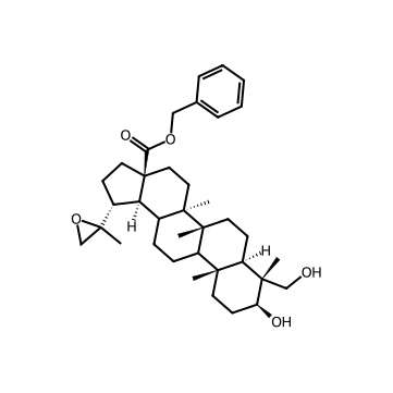 CC1([C@@H]2CC[C@]3(C(=O)OCc4ccccc4)CC[C@]4(C)C(CCC5[C@@]6(C)CC[C@H](O)[C@@](C)(CO)[C@@H]6CC[C@]54C)[C@@H]23)CO1